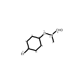 CCC1CCC(ON(C)C=O)CC1